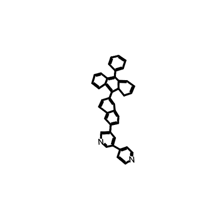 C1=CCC2C(=C1)C(c1ccccc1)=c1ccccc1=C2c1ccc2cc(-c3cncc(-c4ccncc4)c3)ccc2c1